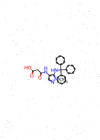 Cn1ncc(NC(=O)CC(=O)O)c1NC(c1ccccc1)(c1ccccc1)c1ccccc1